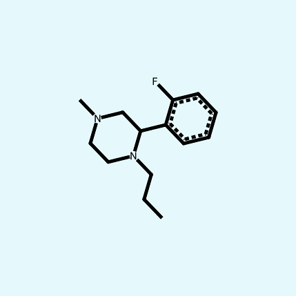 CCCN1CCN(C)CC1c1ccccc1F